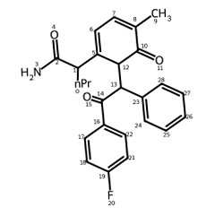 CCCC(C(N)=O)C1=CC=C(C)C(=O)C1C(C(=O)c1ccc(F)cc1)c1ccccc1